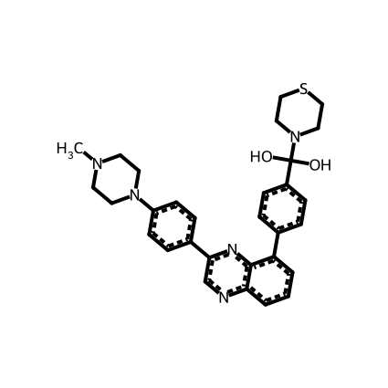 CN1CCN(c2ccc(-c3cnc4cccc(-c5ccc(C(O)(O)N6CCSCC6)cc5)c4n3)cc2)CC1